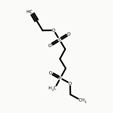 C#CCOS(=O)(=O)CCCP(C)(=O)OCC